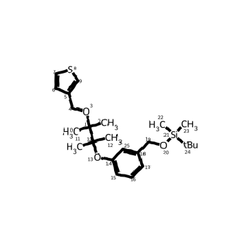 CC(C)(OCc1ccsc1)C(C)(C)Oc1cccc(CO[Si](C)(C)C(C)(C)C)c1